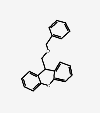 c1ccc(COCC2c3ccccc3Oc3ccccc32)cc1